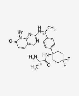 CC(C)n1c(=O)ccc2cnc(N[C@@H](C)c3ccc(C4(NC(=O)[C@H](C)N)CCC(F)(F)CC4)cc3)nc21